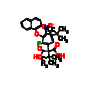 CC(C)(C)c1cc(C(C(=O)O)(C(=O)O)C(C)(C)C)c(F)c(Oc2cccc3ccccc23)c1[N+](=O)[O-]